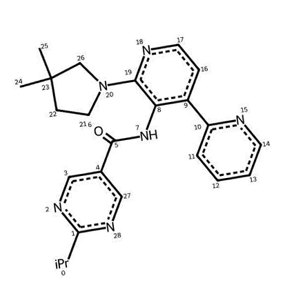 CC(C)c1ncc(C(=O)Nc2c(-c3ccccn3)ccnc2N2CCC(C)(C)C2)cn1